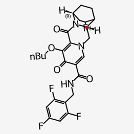 CCCCOc1c2n(cc(C(=O)NCc3c(F)cc(F)cc3F)c1=O)C[C@H]1C3CC[C@H](CC3F)N1C2=O